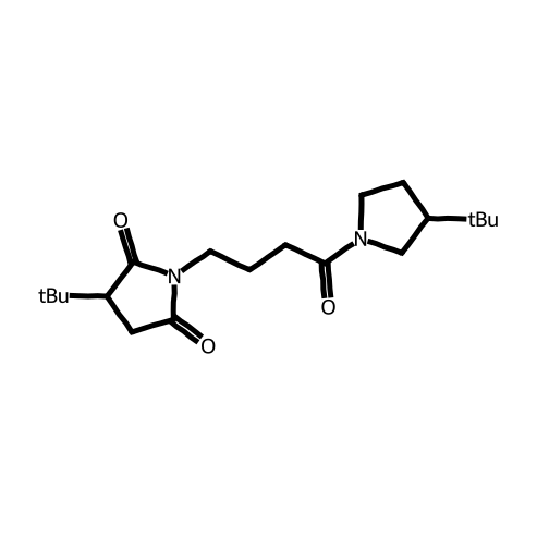 CC(C)(C)C1CCN(C(=O)CCCN2C(=O)CC(C(C)(C)C)C2=O)C1